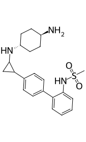 CS(=O)(=O)Nc1ccccc1-c1ccc(C2CC2N[C@H]2CC[C@H](N)CC2)cc1